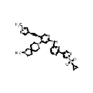 CN1CCC2(CCN(c3cc(Nc4ccnc(-c5cnn(S(=O)(=O)C6CC6)c5)n4)ncc3C#Cc3cnn(C)c3)CC2)C1